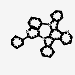 c1ccc(-c2cc(-n3c4ccccc4c4c5cccnc5c5c6ccccc6n(-c6ccccc6)c5c43)ncn2)cc1